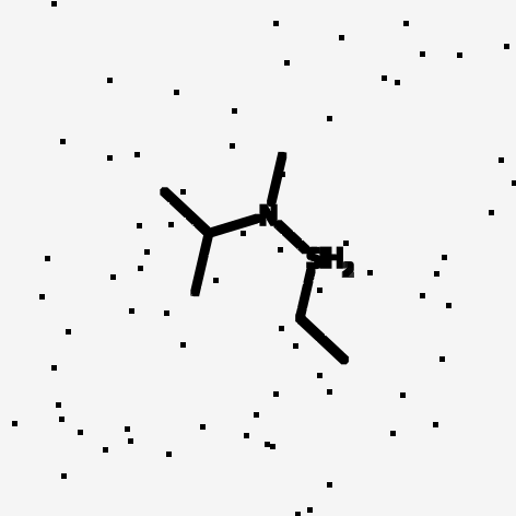 CC[SiH2]N(C)C(C)C